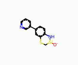 [O-][S+]1CSc2cc(-c3cccnc3)ccc2N1